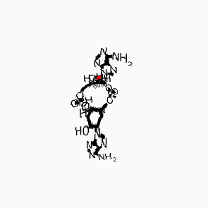 C[C@@]12COP(C)(=O)O[C@@H]3[C@H](O)[C@@H](CO[PH](=O)O[C@H]1C[C@@H](O)[C@H](n1cnc4c(N)ncnc41)C2)O[C@H]3n1cnc2c(N)ncnc21